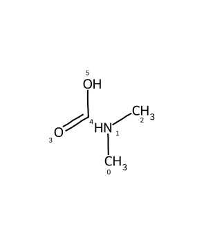 CNC.O=CO